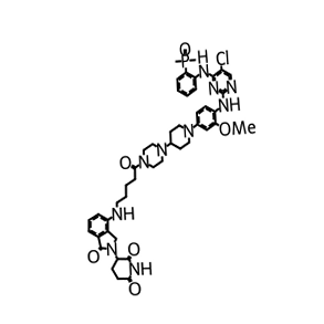 COc1cc(N2CCC(N3CCN(C(=O)CCCCNc4cccc5c4CN(C4CCC(=O)NC4=O)C5=O)CC3)CC2)ccc1Nc1ncc(Cl)c(Nc2ccccc2P(C)(C)=O)n1